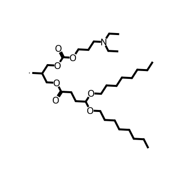 [CH2]C(COC(=O)CCC(OCCCCCCCC)OCCCCCCCC)COC(=O)OCCCN(CC)CC